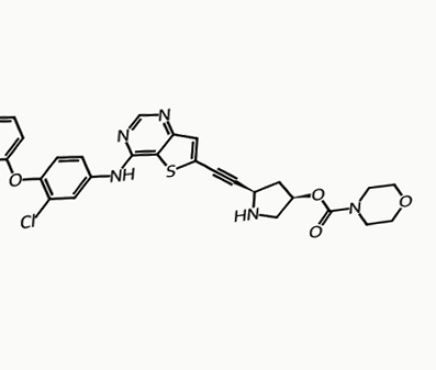 O=C(O[C@H]1CN[C@@H](C#Cc2cc3ncnc(Nc4ccc(Oc5ccccn5)c(Cl)c4)c3s2)C1)N1CCOCC1